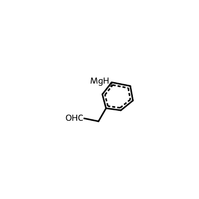 O=CCc1ccccc1.[MgH2]